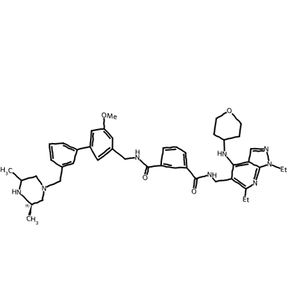 CCc1nc2c(cnn2CC)c(NC2CCOCC2)c1CNC(=O)c1cccc(C(=O)NCc2cc(OC)cc(-c3cccc(CN4CC(C)N[C@H](C)C4)c3)c2)c1